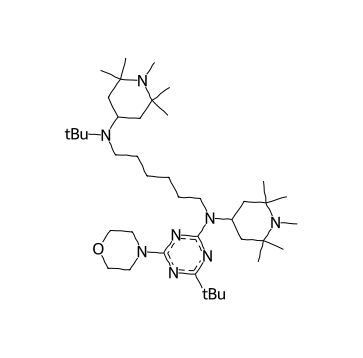 CN1C(C)(C)CC(N(CCCCCCN(C2CC(C)(C)N(C)C(C)(C)C2)C(C)(C)C)c2nc(N3CCOCC3)nc(C(C)(C)C)n2)CC1(C)C